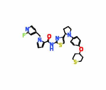 O=C(Nc1nc([C@H]2CCCN2c2ccc(OC3CCSCC3)cc2)cs1)c1cccn1Cc1ccnc(F)c1